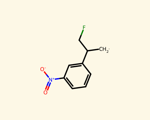 [CH2]C(CF)c1cccc([N+](=O)[O-])c1